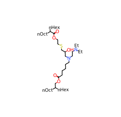 CCCCCCCCC(CCCCCC)COC(=O)CCCCCN(CCN(CC)CC)CC(O)CSCCOC(=O)C(CCCCCC)CCCCCCCC